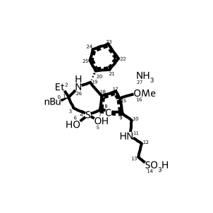 CCCC[C@]1(CC)CS(O)(O)c2cc(CNCCS(=O)(=O)O)c(OC)cc2[C@@H](c2ccccc2)N1.N